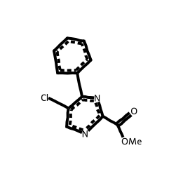 COC(=O)c1ncc(Cl)c(-c2ccccc2)n1